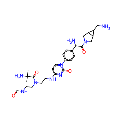 CC(C)(N)C(=O)N(CCNC=O)CCNc1ccn(-c2ccc(C(N)C(=O)N3CC4C(CN)C4C3)cc2)c(=O)n1